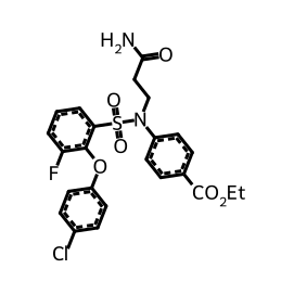 CCOC(=O)c1ccc(N(CCC(N)=O)S(=O)(=O)c2cccc(F)c2Oc2ccc(Cl)cc2)cc1